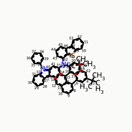 CC(C)(C)c1cc(-c2cccc3cccc(-c4ccccc4N(c4ccc5c6ccccc6n(-c6ccccc6)c5c4)c4cccc5c4sc4ccccc45)c23)cc(C(C)(C)C)c1